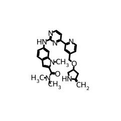 C=C1CC(OCc2ccnc(-c3ccnc(Nc4ccc5cc(C(=O)N(C)C)n(C)c5c4)n3)c2)CN1